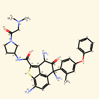 Cc1cc(Oc2ccccc2)ccc1C1(N)C(=O)C(N)c2c(C(=O)NC3CCN(C(=O)CN(C)C)C3)sc3c(N)ccc1c23